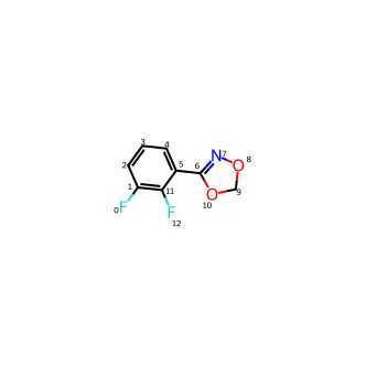 Fc1cccc(C2=NOCO2)c1F